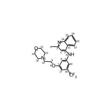 Cc1cc(Nc2cc(OCCN3CCOCC3)cc(C(F)(F)F)c2)c2ccccc2n1